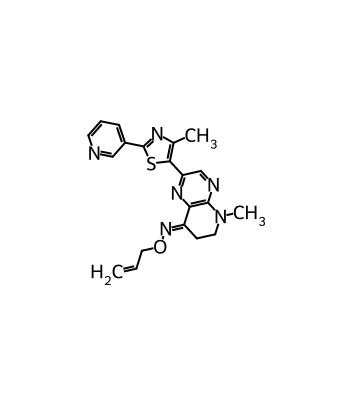 C=CCO/N=C1\CCN(C)c2ncc(-c3sc(-c4cccnc4)nc3C)nc21